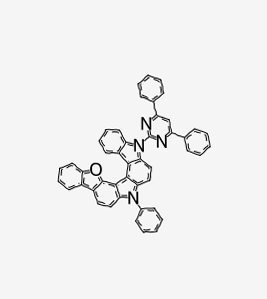 c1ccc(-c2cc(-c3ccccc3)nc(-n3c4ccccc4c4c5c6c7oc8ccccc8c7ccc6n(-c6ccccc6)c5ccc43)n2)cc1